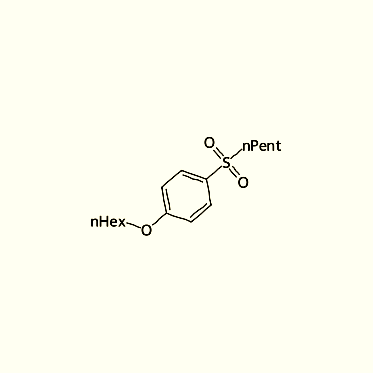 [CH2]CCCCS(=O)(=O)c1ccc(OCCCCCC)cc1